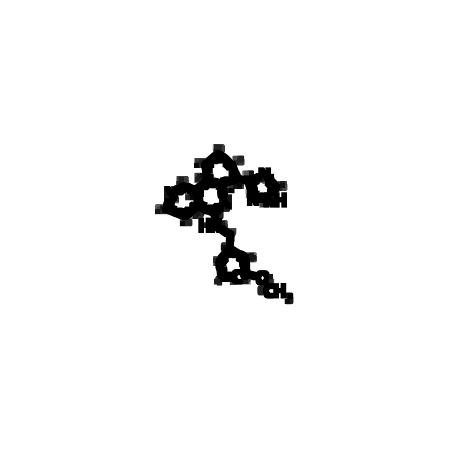 COc1cccc(CNc2nc3c(-c4nc[nH]n4)cccc3c3cnccc23)c1